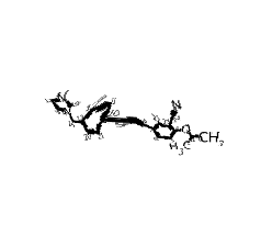 CC(C)Oc1ccc(C#Cc2ccc(Cn3ccnc3)cc2)cc1C#N